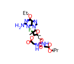 CCOC1=NC(N)=NC2C1N=CN2[C@@H]1OC2COP(=O)(NCC(=O)OC(C)C)NCC(=O)OC2[C@]1(C)F